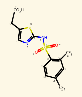 O=C(O)Cc1cnc(NS(=O)(=O)c2ccc(C(F)(F)F)cc2C(F)(F)F)s1